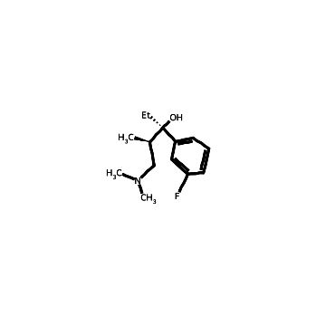 CC[C@](O)(c1cccc(F)c1)[C@H](C)CN(C)C